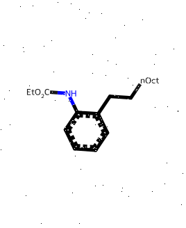 CCCCCCCCCCc1ccccc1NC(=O)OCC